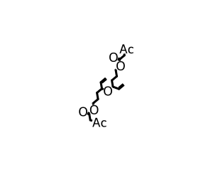 C=CC(CCCOC(=O)CC(C)=O)OC(C=C)CCCOC(=O)CC(C)=O